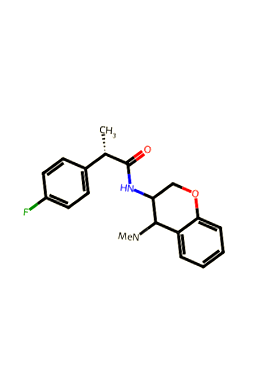 CNC1c2ccccc2OCC1NC(=O)[C@@H](C)c1ccc(F)cc1